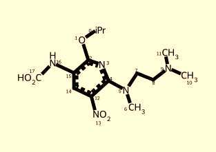 CC(C)Oc1nc(N(C)CCN(C)C)c([N+](=O)[O-])cc1NC(=O)O